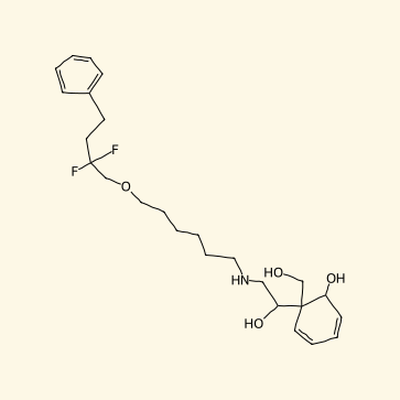 OCC1(C(O)CNCCCCCCOCC(F)(F)CCc2ccccc2)C=CC=CC1O